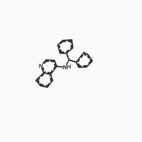 c1ccc(C(Nc2ccnc3ccccc23)c2ccccc2)cc1